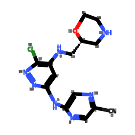 N#Cc1cnc(Nc2cc(NC[C@H]3CNCCO3)c(Cl)nn2)cn1